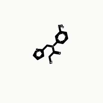 O=C(CCl)N(Cc1cccs1)c1cccc([N+](=O)[O-])c1